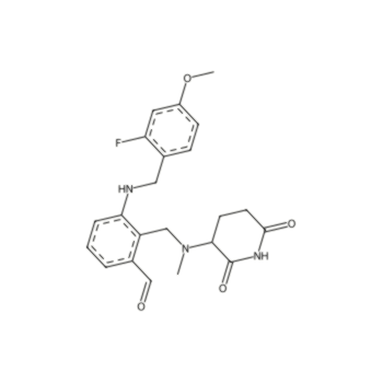 COc1ccc(CNc2cccc(C=O)c2CN(C)C2CCC(=O)NC2=O)c(F)c1